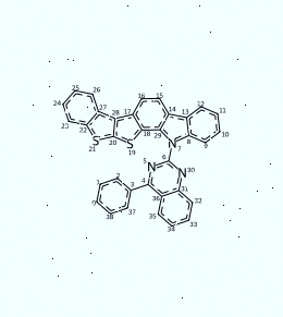 c1ccc(-c2nc(-n3c4ccccc4c4ccc5c(sc6sc7ccccc7c65)c43)nc3ccccc23)cc1